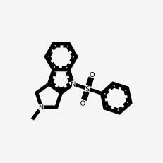 CN1Cc2c(n(S(=O)(=O)c3ccccc3)c3ccccc23)C1